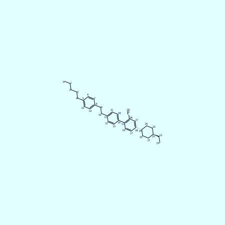 CCCCCc1ccc(CCc2ccc(-c3ccc([C@H]4CC[C@H](CC)CC4)cc3F)cc2)cc1